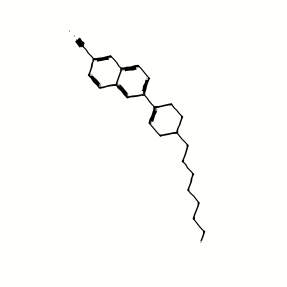 CCCCCCCCC1CC=C(c2ccc3cc(C#N)ccc3c2)CC1